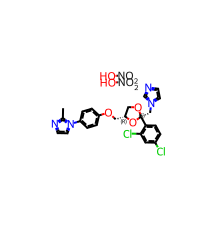 Cc1nccn1-c1ccc(OC[C@@H]2CO[C@@](Cn3ccnc3)(c3ccc(Cl)cc3Cl)O2)cc1.O=[N+]([O-])O.O=[N+]([O-])O